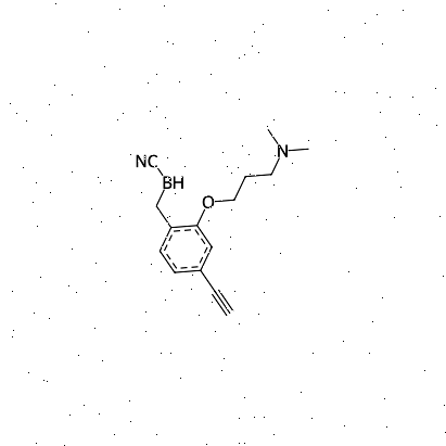 C#Cc1ccc(CBC#N)c(OCCCN(C)C)c1